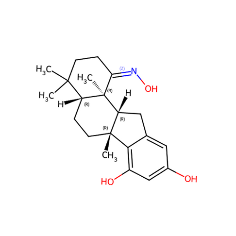 CC1(C)CC/C(=N/O)[C@]2(C)[C@@H]1CC[C@@]1(C)c3c(O)cc(O)cc3C[C@@H]21